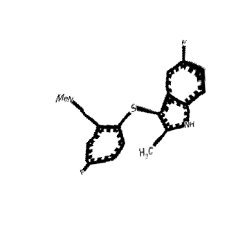 CNCc1cc(F)ccc1Sc1c(C)[nH]c2ccc(F)cc12